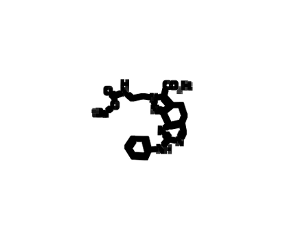 CCOC(=O)c1c2c(nn1CCNC(=O)OC(C)(C)C)-c1nc(Nc3ccccc3)ncc1CC2